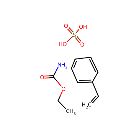 C=Cc1ccccc1.CCOC(N)=O.O=S(=O)(O)O